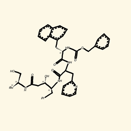 CC[C@H](C)[C@@H](CO)NC(=O)C[C@H](O)[C@H](CC(C)C)NC(=O)C(Cc1ccccn1)NC(=O)[C@H](Cc1cccc2ccccc12)NC(=O)OCc1ccccc1